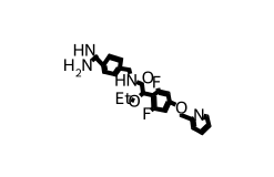 CCOC(C(=O)NCc1ccc(C(=N)N)cc1)c1c(F)cc(OCc2ccccn2)cc1F